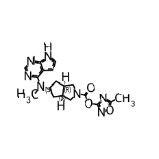 Cc1nc(OC(=O)N2C[C@H]3C[C@H](N(C)c4ncnc5[nH]ccc45)C[C@H]3C2)no1